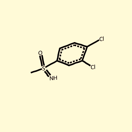 CS(=N)(=O)c1ccc(Cl)c(Cl)c1